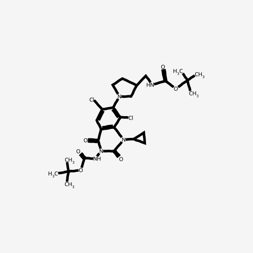 CC(C)(C)OC(=O)NCC1CCN(c2c(Cl)cc3c(=O)n(NC(=O)OC(C)(C)C)c(=O)n(C4CC4)c3c2Cl)C1